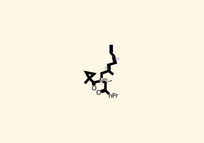 C=C/C=C\C=C(/C)CN(C(=O)C1(C)CC1)[C@H](C)C(=O)CCC